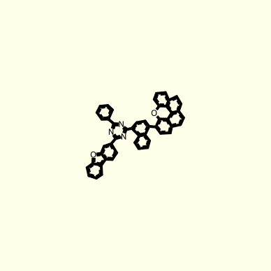 c1ccc(-c2nc(-c3ccc4c(c3)oc3ccccc34)nc(-c3ccc(-c4ccc5ccc6ccc7cccc8c7c6c5c4O8)c4ccccc34)n2)cc1